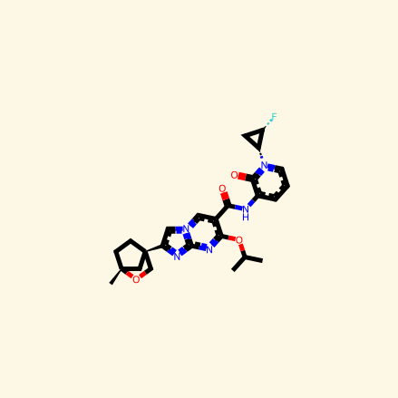 CC(C)Oc1nc2nc([C@]34CC[C@](C)(C3)OC4)cn2cc1C(=O)Nc1cccn([C@@H]2C[C@@H]2F)c1=O